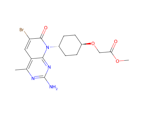 COC(=O)CO[C@H]1CC[C@H](n2c(=O)c(Br)cc3c(C)nc(N)nc32)CC1